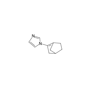 c1cn(C2=C3CCC(C3)C2)cn1